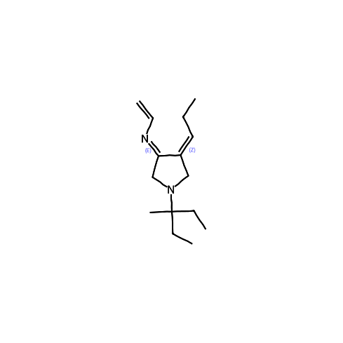 C=C/N=C1/CN(C(C)(CC)CC)C/C1=C/CC